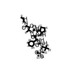 C=CCNC(=O)C(=O)C(C)NC(=O)[C@@H]1[C@H]2CCC[C@H]2CN1C(=O)[C@@H](NC(=O)N[C@H](CN(C)S(C)(=O)=O)C(C)(C)C)C1CCCCC1